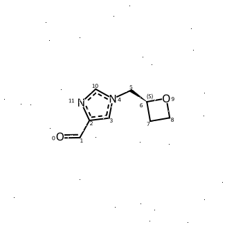 O=Cc1cn(C[C@@H]2CCO2)cn1